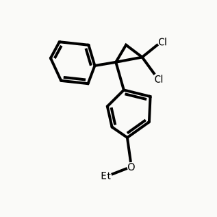 CCOc1ccc(C2(c3ccccc3)CC2(Cl)Cl)cc1